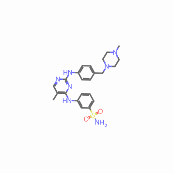 Cc1cnc(Nc2ccc(CN3CCN(C)CC3)cc2)nc1Nc1cccc(S(N)(=O)=O)c1